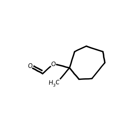 CC1(OC=O)CCCCCC1